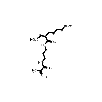 C=C(C)C(=O)NCCCNC(=O)C(CCCCCCCCCCCCCC)CC(=O)O